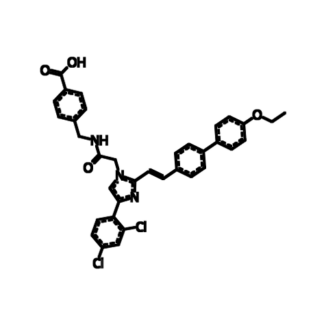 CCOc1ccc(-c2ccc(/C=C/c3nc(-c4ccc(Cl)cc4Cl)cn3CC(=O)NCc3ccc(C(=O)O)cc3)cc2)cc1